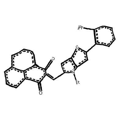 CCn1c(C=c2c(=O)c3cccc4cccc(c2=O)c43)cc2oc(-c3ccccc3C(C)C)cc21